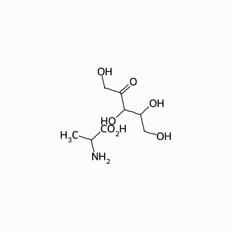 CC(N)C(=O)O.O=C(CO)C(O)C(O)CO